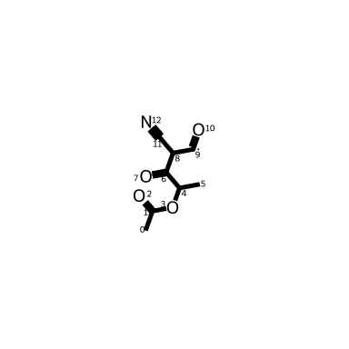 CC(=O)OC(C)C(=O)C([C]=O)C#N